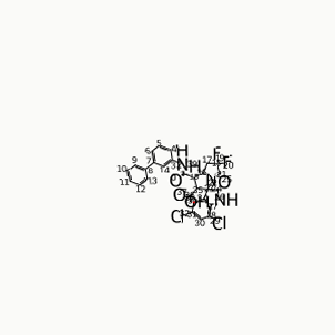 O=C(Nc1cccc(-c2ccccc2)c1)[C@H]1[C@H]2CC(F)(F)CN2[C@]2(C(=O)Nc3c(Cl)cc(Cl)cc32)[C@H]1C(=O)O